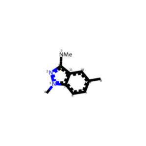 CNc1nn(C)c2ccc(C)cc12